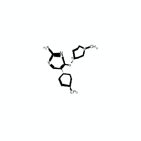 CN1CC[C@@H](Oc2nc(N)ncc2[C@H]2CC[C@H](C)CC2)C1